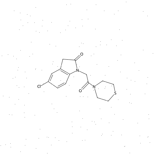 O=C(CN1C(=O)Cc2cc(Cl)ccc21)N1CCSCC1